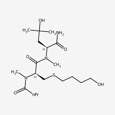 CCCC(=O)N(C)[C@H](CSCCCCO)C(=O)N(C)[C@@H](CC(C)(C)O)C(N)=O